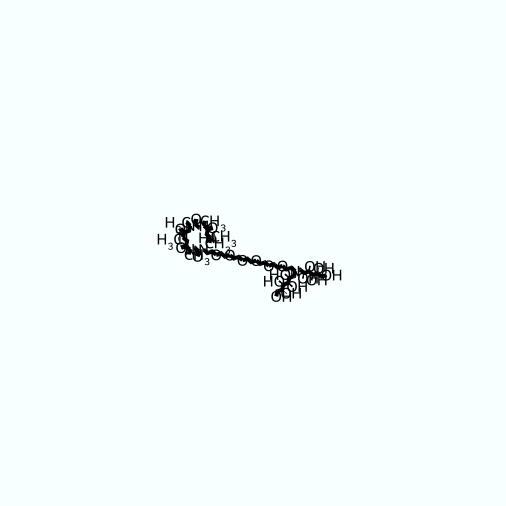 CN(C)CC(=O)N(C)CC(=O)N(C)CC(=O)N(C)CC(=O)N(C)CC(=O)NCCOCCOCCOCCOCCOCCOCCN(C[C@H](O)[C@@H](O)[C@H](O)[C@H](O)CO)C[C@H](O)[C@@H](O)[C@H](O)[C@H](O)CO